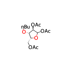 CCCCO[C@H]1[C@@H](COC(C)=O)OC(OC(C)=O)[C@@H]1OC(C)=O